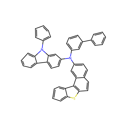 c1ccc(-c2cccc(N(c3ccc4ccc5sc6ccccc6c5c4c3)c3ccc4c5ccccc5n(-c5ccccc5)c4c3)c2)cc1